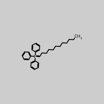 CCCCCCCCCCCC=P(c1ccccc1)(c1ccccc1)c1ccccc1